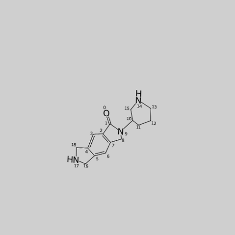 O=C1c2cc3c(cc2CN1C1CCCNC1)CNC3